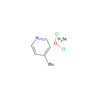 CC(C)(C)c1ccncc1.ClOCl.[SeH2]